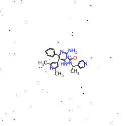 Cc1cc(-c2c(-c3ccccc3)nc(N)[n+]3c(=O)n([C@H](C)c4ccncc4)[nH]c23)cc(C)n1